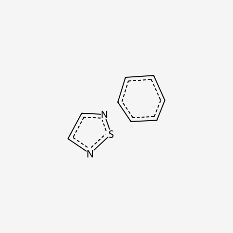 c1ccccc1.c1cnsn1